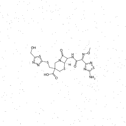 CON=C(C(=O)NC1C(=O)N2CC(CSc3nnc(CO)s3)(C(=O)O)CS[C@H]12)c1nsc(N)n1